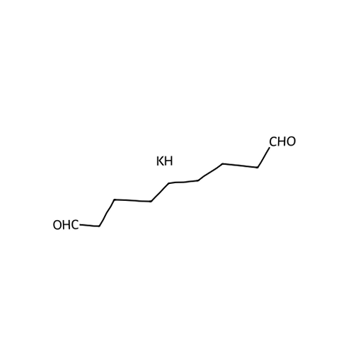 O=CCCCCCCCC=O.[KH]